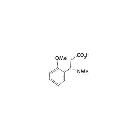 CN[C@@H](CC(=O)O)c1ccccc1OC